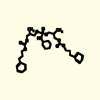 CC(COC(=O)OCCCc1ccccc1)COP(=O)(NC1CCCCC1)OCC(C)COC(=O)OCCCc1ccccc1